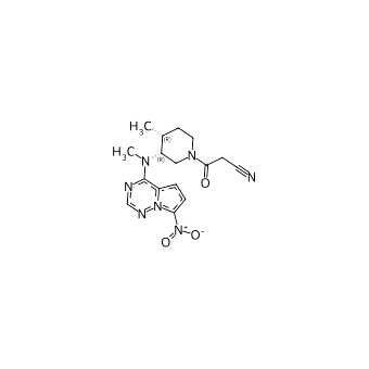 C[C@@H]1CCN(C(=O)CC#N)C[C@@H]1N(C)c1ncnn2c([N+](=O)[O-])ccc12